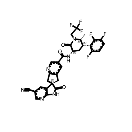 C[C@@H]1[C@H](c2c(F)ccc(F)c2F)C[C@H](NC(=O)c2cnc3c(c2)C[C@@]2(C3)C(=O)Nc3ncc(C#N)cc32)C(=O)N1CC(F)(F)F